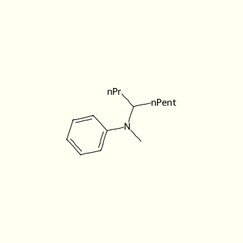 CCCCCC(CCC)N(C)c1ccccc1